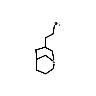 NCCC1CC2CCCN(C1)C2